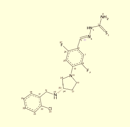 NC(=S)N/N=C/c1cc(F)c(N2CC[C@H](NCc3ccccc3Cl)C2)cc1F